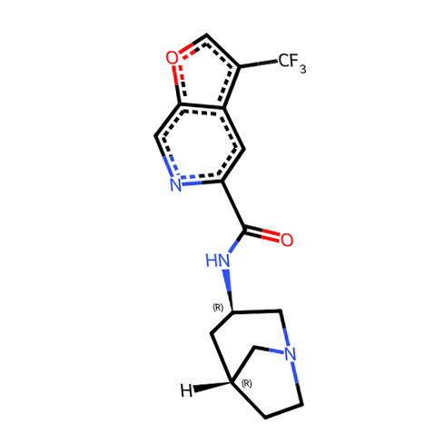 O=C(N[C@@H]1C[C@H]2CCN(C2)C1)c1cc2c(C(F)(F)F)coc2cn1